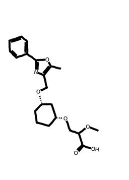 COC(CO[C@@H]1CCC[C@H](OCc2nc(-c3ccccc3)oc2C)C1)C(=O)O